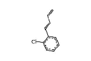 C=CC=Cc1ccccc1Cl